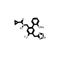 CCN(Cc1cc(C(F)(F)F)c(Cc2nn[nH]n2)cc1-c1ccccc1OC)C(=O)C1CC1